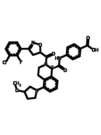 COC1CCN(c2cccc3c2CCN(C(=O)C2CC(c4cccc(Cl)c4F)=NO2)[C@H]3C(=O)Nc2ccc(C(=O)O)cc2)C1